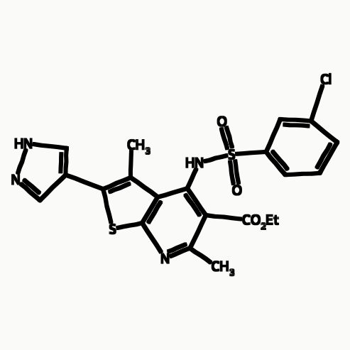 CCOC(=O)c1c(C)nc2sc(-c3cn[nH]c3)c(C)c2c1NS(=O)(=O)c1cccc(Cl)c1